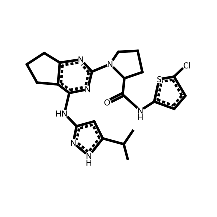 CC(C)c1cc(Nc2nc(N3CCCC3C(=O)Nc3ccc(Cl)s3)nc3c2CCC3)n[nH]1